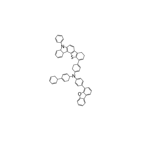 C1=CCC(C2=CCC(N(C3=CC=C(C4=CCCc5c4sc4c6c(ccc54)N(c4ccccc4)C4C=CC=CC64)CC3)c3ccc(-c4cccc5c4oc4ccccc45)cc3)C=C2)C=C1